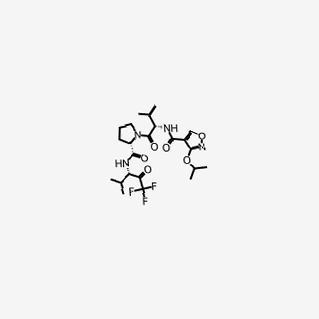 CC(C)Oc1nocc1C(=O)N[C@H](C(=O)N1CCC[C@H]1C(=O)N[C@H](C(=O)C(F)(F)F)C(C)C)C(C)C